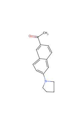 CC(=O)c1ccc2cc(N3CCCC3)ccc2c1